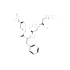 CCNC(=O)CNC(=O)C(Cc1ccccc1)NC(=O)CNC(=O)CNC